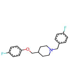 Fc1ccc(CN2CCC(COc3ccc(F)cc3)CC2)cc1